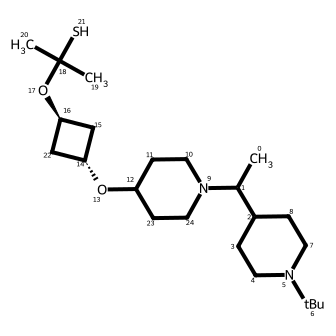 CC(C1CCN(C(C)(C)C)CC1)N1CCC(O[C@H]2C[C@H](OC(C)(C)S)C2)CC1